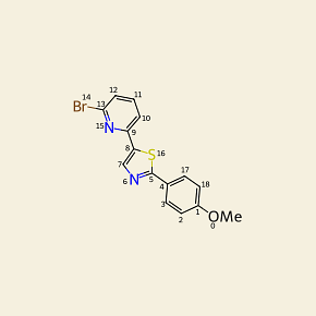 COc1ccc(-c2ncc(-c3cccc(Br)n3)s2)cc1